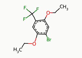 CCOc1cc(C(F)(F)F)c(OCC)cc1Br